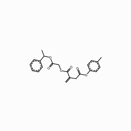 C=C(CC(=O)Oc1ccc(C)cc1)C(=O)OCC(=O)OC(C)c1ccccc1